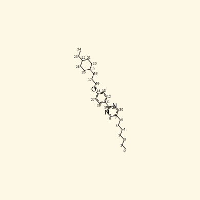 CCCCCCCc1cnc(-c2ccc(OCCCC3CCC(CC)CC3)cc2)nc1